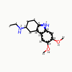 CCNC1CCc2[nH]c3cc(OC)c(OC)cc3c2C1